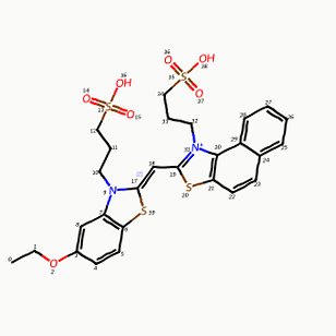 CCOc1ccc2c(c1)N(CCCS(=O)(=O)O)/C(=C/c1sc3ccc4ccccc4c3[n+]1CCCS(=O)(=O)O)S2